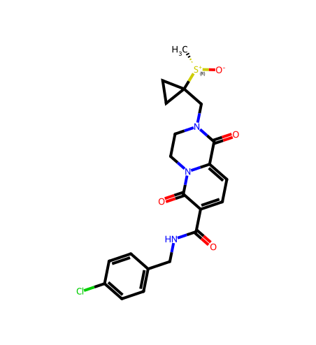 C[S@+]([O-])C1(CN2CCn3c(ccc(C(=O)NCc4ccc(Cl)cc4)c3=O)C2=O)CC1